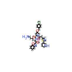 NCCCC[C@H](NC(=O)[C@@H]1C[C@@H](OCc2ccc(Cl)cc2)CN1C(=O)Cc1cnc([C@H]2CCCNC2)s1)C(=O)c1nc2ccccc2o1